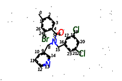 Cc1ccc(C(=O)N(Cc2cccnc2)Cc2cc(Cl)cc(Cl)c2)c(Br)c1